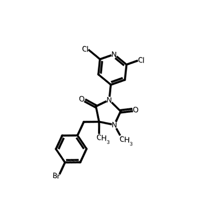 CN1C(=O)N(c2cc(Cl)nc(Cl)c2)C(=O)C1(C)Cc1ccc(Br)cc1